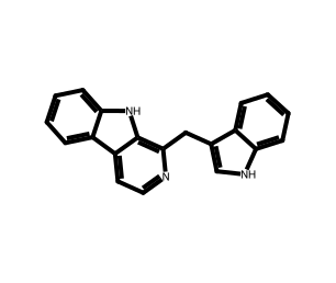 c1ccc2c(Cc3nccc4c3[nH]c3ccccc34)c[nH]c2c1